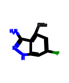 COc1cc(F)cc2[nH]nc(N)c12